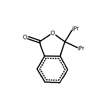 CC(C)C1(C(C)C)OC(=O)c2ccccc21